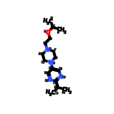 CC(C)OCCN1CCN(c2cnc(C(C)C)nc2)CC1